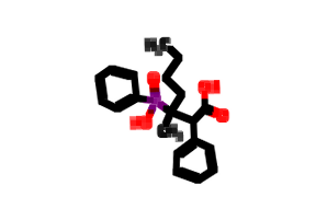 CCCCC(C)(C(C(=O)O)c1ccccc1)P(=O)(O)c1ccccc1